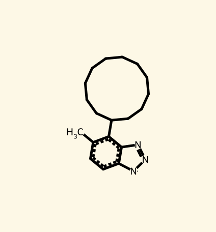 Cc1ccc2c(c1C1CCCCCCCCCCC1)N=N[N]2